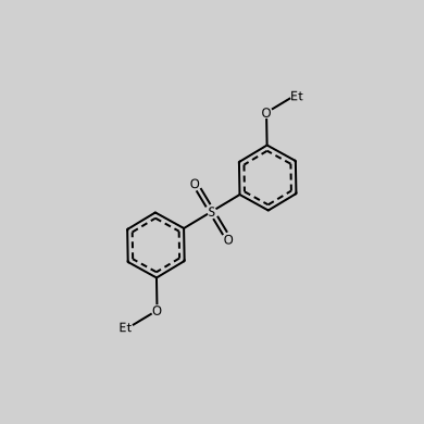 CCOc1cccc(S(=O)(=O)c2cccc(OCC)c2)c1